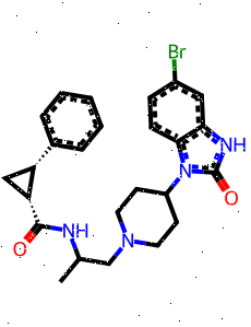 CC(CN1CCC(n2c(=O)[nH]c3cc(Br)ccc32)CC1)NC(=O)[C@@H]1C[C@@H]1c1ccccc1